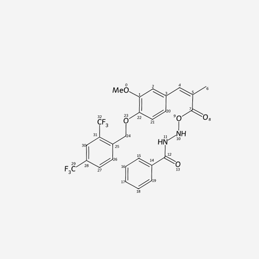 COc1cc(C=C(C)C(=O)ONNC(=O)c2ccccc2)ccc1OCc1ccc(C(F)(F)F)cc1C(F)(F)F